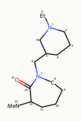 CCN1CCCC(CN2CCCCC(NC)C2=O)C1